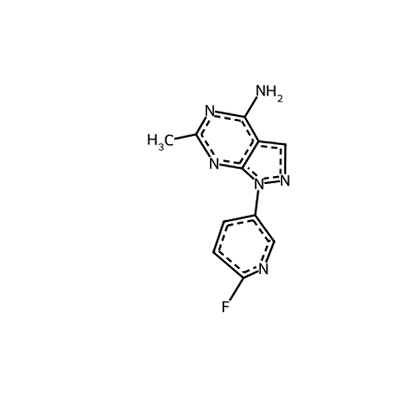 Cc1nc(N)c2cnn(-c3ccc(F)nc3)c2n1